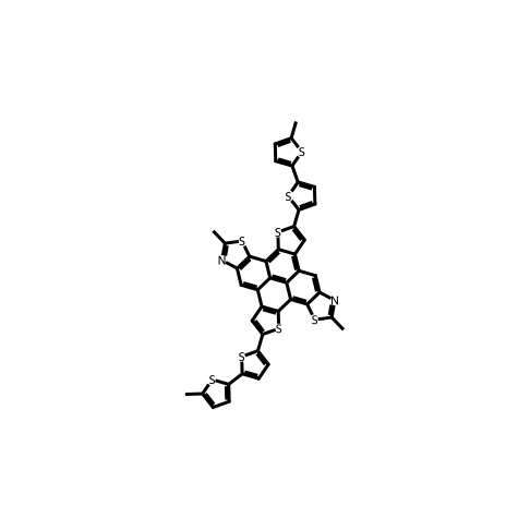 Cc1ccc(-c2ccc(-c3cc4c5cc6nc(C)sc6c6c7sc(-c8ccc(-c9ccc(C)s9)s8)cc7c7cc8nc(C)sc8c(c4s3)c7c56)s2)s1